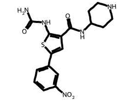 NC(=O)Nc1sc(-c2cccc([N+](=O)[O-])c2)cc1C(=O)NC1CCNCC1